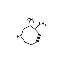 C[C@H]1C#CCCNC[C@@H]1C